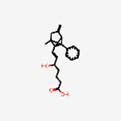 C=C1CC2(C)CC1C(c1ccccc1)=C2/C=C/C(O)CCCC(=O)O